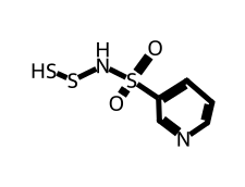 O=S(=O)(NSS)c1cccnc1